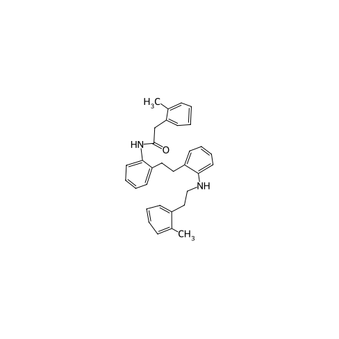 Cc1ccccc1CCNc1ccccc1CCc1ccccc1NC(=O)Cc1ccccc1C